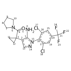 Nc1c(C2(C(=O)N3CCCC3)CC2)cnn1-c1c(Cl)cc(C(F)(F)F)cc1Cl